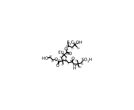 CCC(C)(CC(C)(CCC(=O)NC(C)(C)CS(=O)(=O)O)C(=O)OCCO)C(=O)OC(C)CC(C)(O)C(F)(F)F